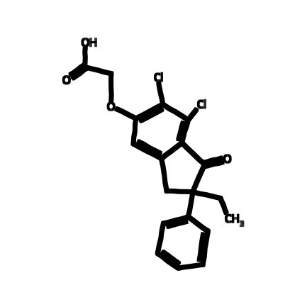 CCC1(c2ccccc2)Cc2cc(OCC(=O)O)c(Cl)c(Cl)c2C1=O